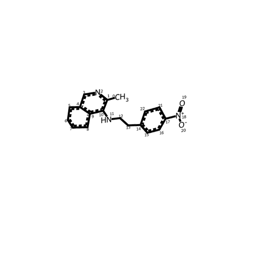 Cc1ncc2ccccc2c1NCCc1ccc([N+](=O)[O-])cc1